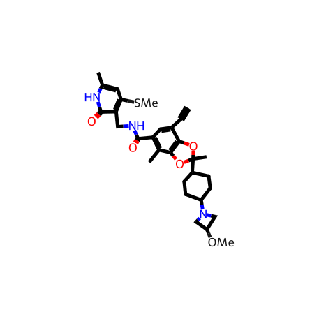 C#Cc1cc(C(=O)NCc2c(SC)cc(C)[nH]c2=O)c(C)c2c1OC(C)(C1CCC(N3CC(OC)C3)CC1)O2